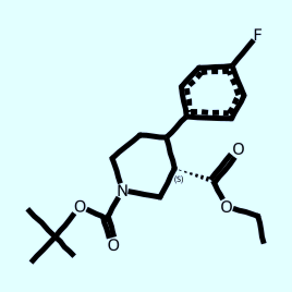 CCOC(=O)[C@@H]1CN(C(=O)OC(C)(C)C)CCC1c1ccc(F)cc1